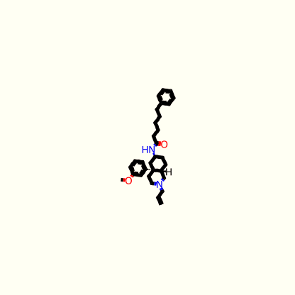 C=CCN1CC[C@@]2(c3cccc(OC)c3)C[C@@H](NC(=O)CCCCCc3ccccc3)CC[C@@H]2C1